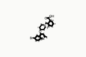 Cc1cc(OC2CCN(Cc3c(F)cccc3C(=O)O)CC2)c2cc(Br)ccc2n1